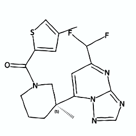 Cc1csc(C(=O)N2CCC[C@](C)(c3cc(C(F)F)nc4ncnn34)C2)c1